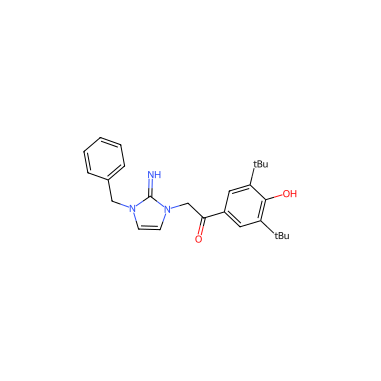 CC(C)(C)c1cc(C(=O)Cn2ccn(Cc3ccccc3)c2=N)cc(C(C)(C)C)c1O